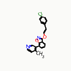 Cc1ccncc1-c1cccc2c(OCCc3ccc(Cl)cc3)noc12